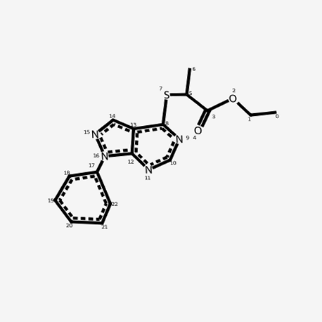 CCOC(=O)C(C)Sc1ncnc2c1cnn2-c1ccccc1